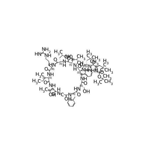 CC[C@H](C)[C@@H]1NC(=O)[C@@H](CCCNC(=N)N)NC(=O)[C@H](CC(C)C)NC(=O)[C@H]([C@H](O)C(C)C)NC(=O)[C@@H](NC(=O)[C@H](CC(C)(C)C)NC(=O)[C@@H](CC(C)(C)C)NC(=O)OC(C)(C)C)[C@@H](c2ccccc2)NC(=O)[C@H](CO)NC(=O)[C@H](Cc2ccccc2)NC(=O)CNC(=O)[C@H]([C@H](C)O)NC1=O